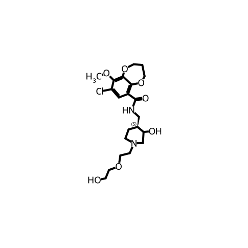 COc1c(Cl)cc(C(=O)NC[C@@H]2CCN(CCOCCO)CC2O)c2c1OCCCO2